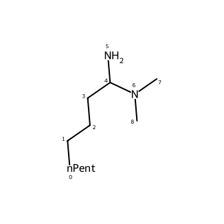 CCCCCCCCC(N)N(C)C